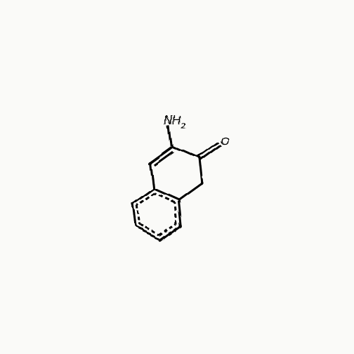 NC1=Cc2ccccc2CC1=O